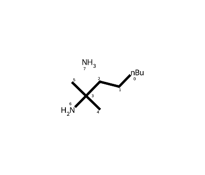 CCCCCCC(C)(C)N.N